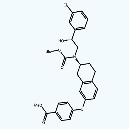 COC(=O)c1ccc(Oc2ccc3c(c2)C[C@@H](N(C[C@H](O)c2cccc(Cl)c2)C(=O)OC(C)(C)C)CC3)cc1